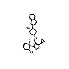 O[C@]1(c2ccc3ccccc3n2)CC[C@H](OCc2c(-c3c(Cl)cccc3Cl)noc2C2CC2)CC1